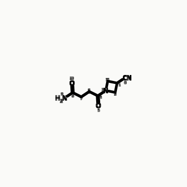 N#CC1CN(C(=O)[CH]CC(N)=O)C1